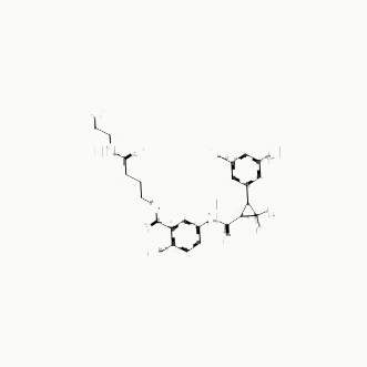 O=C(CCCNC(=O)c1cc(NC(=O)C2C(c3cc(Cl)cc(Cl)c3)C2(Cl)Cl)ccc1Cl)NCCC(F)(F)F